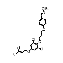 CC(C)CON=Cc1ccc(OCCCOc2c(Cl)cc(OCC=C(Cl)Cl)cc2Cl)cc1